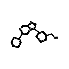 OCc1cccc(-c2cnc3cnc(-c4ccccc4)cn23)c1